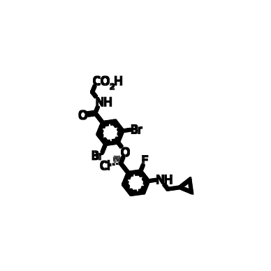 O=C(O)CNC(=O)c1cc(Br)c(O[C@@H](Cl)c2cccc(NCC3CC3)c2F)c(Br)c1